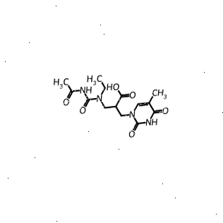 CCN(CC(Cn1cc(C)c(=O)[nH]c1=O)C(=O)O)C(=O)NC(C)=O